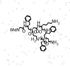 CNCC(=O)N[C@@H](Cc1ccccc1)CN(CC(=O)N[C@@H](CCCCN)C(=O)N[C@@H](Cc1ccccc1)CN(CC(N)=O)S(=O)(=O)Cc1ccccc1)S(=O)(=O)CCN